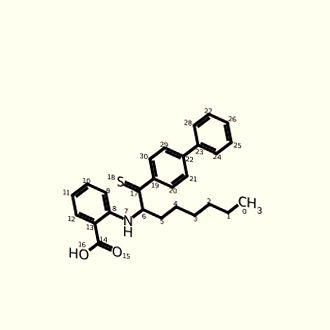 CCCCCCC(Nc1ccccc1C(=O)O)C(=S)c1ccc(-c2ccccc2)cc1